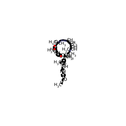 CCOCCC(=O)N1CCN(c2ncc(CNC(=S)O[C@@H]3CC[C@@H](C[C@@H](N)[C@@H]4C[C@@H](OC)[C@H](C)/C=C(\C)[C@@H](O)[C@@H](O)C(=O)[C@H](C)C[C@H](C)/C=C/C=C/C=C(\C)[C@@H](OC)C[C@@H]5CC[C@@H](C)[C@@](O)(O5)C(=O)C(=O)N5CCCC[C@H]5C(=O)O4)C[C@H]3OC)cn2)CC1